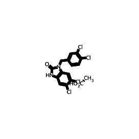 CC(=O)O.O=c1[nH]c2cc(Cl)c(Cl)cc2n1Cc1ccc(Cl)c(Cl)c1